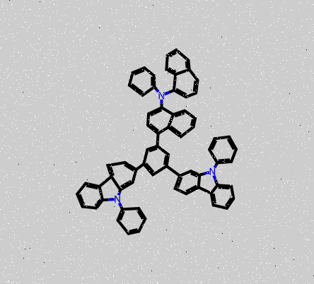 c1ccc(N(c2cccc3ccccc23)c2ccc(-c3cc(-c4ccc5c6ccccc6n(-c6ccccc6)c5c4)cc(-c4ccc5c6ccccc6n(-c6ccccc6)c5c4)c3)c3ccccc23)cc1